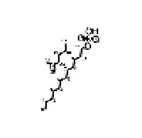 CCCCCCCCCCCCOS(=O)(=O)O.CCCCN(C)C